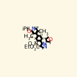 CCOC(=O)c1cnn(C2CCOC2)c1-c1ccc(-c2c(C)cnc(OC(C)C)c2C)cc1[N+](=O)[O-]